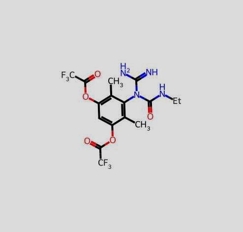 CCNC(=O)N(C(=N)N)c1c(C)c(OC(=O)C(F)(F)F)cc(OC(=O)C(F)(F)F)c1C